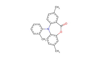 Cc1ccc2c(c1)OC(=O)c1cc(C)ccc1N2c1ccccc1C